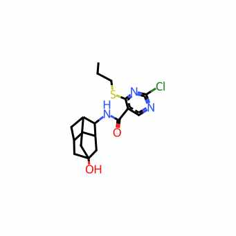 CCCSc1nc(Cl)ncc1C(=O)NC1C2CC3CC1CC(O)(C3)C2